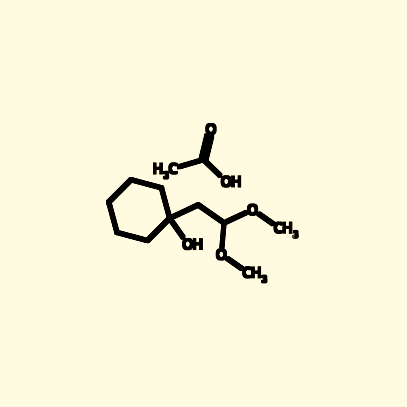 CC(=O)O.COC(CC1(O)CCCCC1)OC